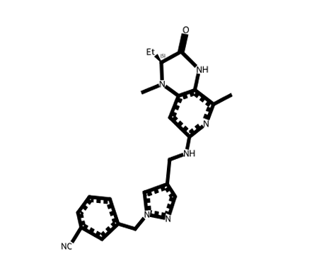 CC[C@H]1C(=O)Nc2c(cc(NCc3cnn(Cc4cccc(C#N)c4)c3)nc2C)N1C